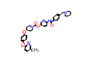 Cc1ccc(Oc2ccc(OC3CCN(C(=O)Oc4ccc(NC(=O)c5ccc(CN6CCCCC6)cc5)nc4)CC3)cc2)nc1